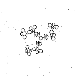 c1ccc2c(c1)Oc1ccccc1N2c1ccc2c(c1)Oc1ccccc1N2c1cnc(-c2cc(-c3ncc(N4c5ccccc5Oc5cc(N6c7ccccc7Oc7ccccc76)ccc54)cn3)cc(-c3ncc(N4c5ccccc5Oc5cc(N6c7ccccc7Oc7ccccc76)ccc54)cn3)c2)nc1